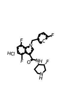 Cl.O=C(N[C@H]1CCNC[C@H]1F)c1cn(Cc2ccc(F)cc2)c2c(F)ccc(F)c12